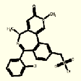 CCS(=O)(=O)Cc1ccc2c(c1)-c1cn(C)c(=O)cc1[C@H](C)N=C2c1ccccc1Cl